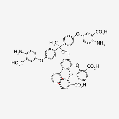 CC(C)(c1ccc(Oc2ccc(N)c(C(=O)O)c2)cc1)c1ccc(Oc2ccc(N)c(C(=O)O)c2)cc1.O=C(O)c1ccccc1Oc1cccc(-c2ccccc2)c1Oc1ccccc1C(=O)O